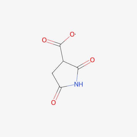 [O]C(=O)C1CC(=O)NC1=O